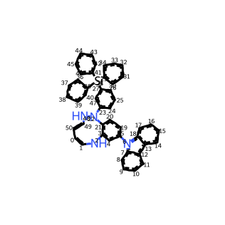 C1=C\Nc2cc(-n3c4ccccc4c4ccccc43)ccc2N(c2cccc([Si](c3ccccc3)(c3ccccc3)c3ccccc3)c2)N/C=C/1